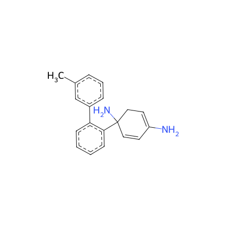 Cc1cccc(-c2ccccc2C2(N)C=CC(N)=CC2)c1